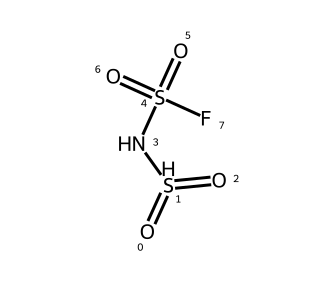 O=[SH](=O)NS(=O)(=O)F